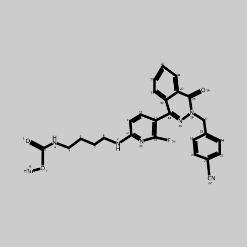 CC(C)(C)OC(=O)NCCCCNc1ccc(-c2nn(Cc3ccc(C#N)cc3)c(=O)c3ccccc23)c(F)n1